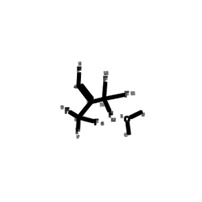 COC.FC=C(C(F)(F)F)C(F)(F)F